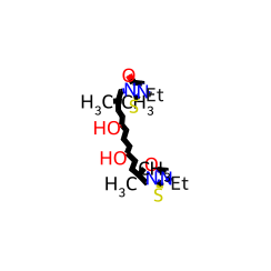 CCN1CC(=O)N(CC(C)(C)CCC(O)CCCC(O)CCC(C)(C)CN2C(=O)CN(CC)C2=S)C1=S